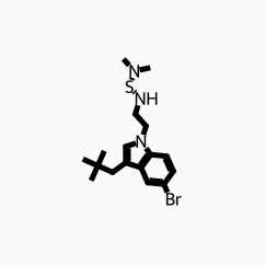 CN(C)SNCCn1cc(CC(C)(C)C)c2cc(Br)ccc21